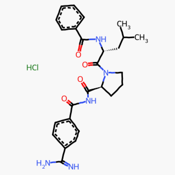 CC(C)C[C@@H](NC(=O)c1ccccc1)C(=O)N1CCC[C@H]1C(=O)NC(=O)c1ccc(C(=N)N)cc1.Cl